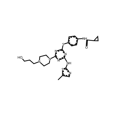 Cc1cnc(Nc2nc(Sc3ccc(NC(=O)C4CC4)cc3)nc(N3CCN(CCCO)CC3)n2)s1